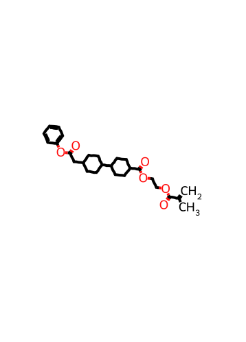 C=C(C)C(=O)OCCOC(=O)C1CCC(C2CCC(CC(=O)Oc3ccccc3)CC2)CC1